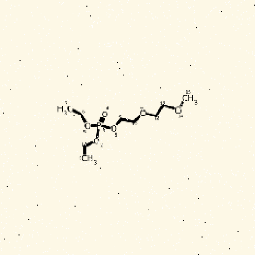 CCOP(=O)(OCC)OCCOCCOC